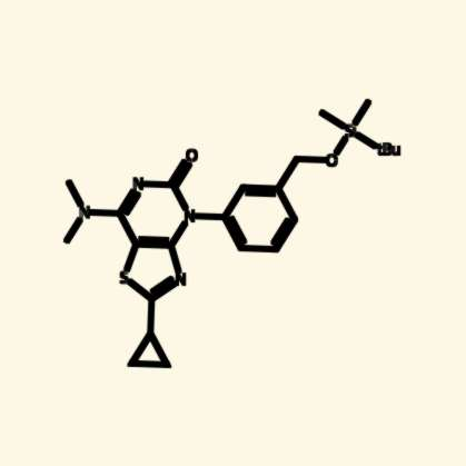 CN(C)c1nc(=O)n(-c2cccc(CO[Si](C)(C)C(C)(C)C)c2)c2nc(C3CC3)sc12